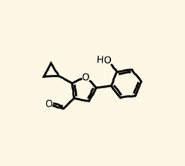 O=Cc1cc(-c2ccccc2O)oc1C1CC1